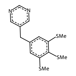 CSc1cc(Cc2cncnc2)cc(SC)c1SC